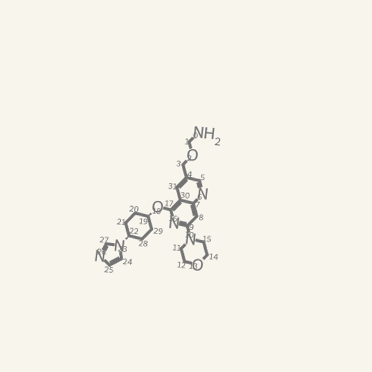 NCOCc1cnc2cc(N3CCOCC3)nc(O[C@H]3CC[C@@H](n4ccnc4)CC3)c2c1